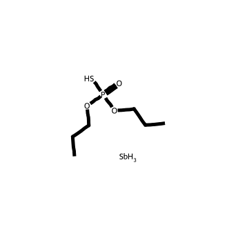 CCCOP(=O)(S)OCCC.[SbH3]